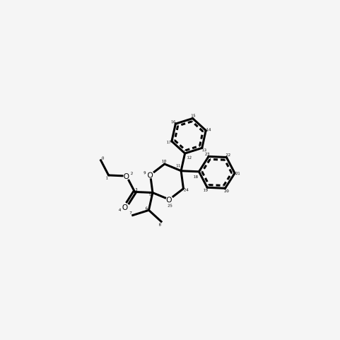 CCOC(=O)C1(C(C)C)OCC(c2ccccc2)(c2ccccc2)CO1